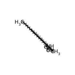 CCCCCCCCCCCCCCCCCCCCCCCCCCC(=O)NC(CO)CCCC